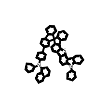 c1ccc(N(c2ccc(-c3ccc4c(c3)C3(c5ccccc5-4)c4ccccc4-c4c3ccc3c4sc4c3ccc3c4c4ccccc4n3-c3ccccc3)cc2)c2cccc3ccccc23)cc1